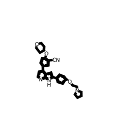 N#Cc1cc(-c2ccnc3[nH]c(-c4ccc(OCCN5CCCC5)cc4)cc23)ccc1OC1CCOCC1